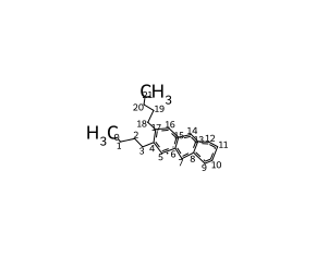 CCCCc1[c]c2cc3ccccc3cc2cc1CCCC